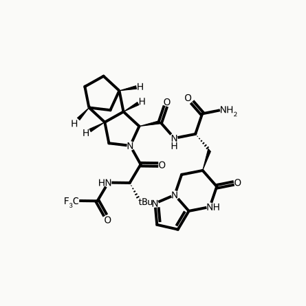 CC(C)(C)[C@H](NC(=O)C(F)(F)F)C(=O)N1C[C@@H]2[C@@H]3CC[C@@H](C3)[C@@H]2[C@H]1C(=O)N[C@@H](C[C@@H]1Cn2nccc2NC1=O)C(N)=O